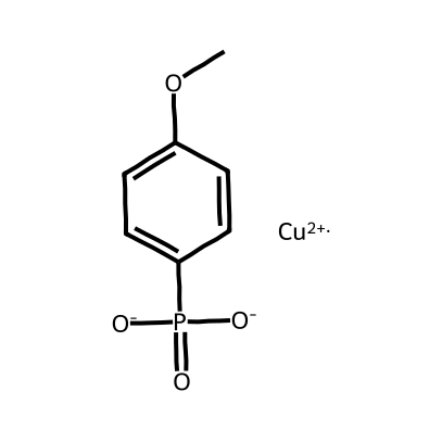 COc1ccc(P(=O)([O-])[O-])cc1.[Cu+2]